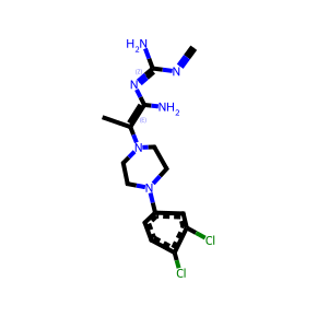 C=N/C(N)=N\C(N)=C(/C)N1CCN(c2ccc(Cl)c(Cl)c2)CC1